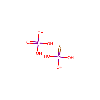 O=P(O)(O)O.OP(O)(O)=S